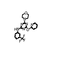 FC(F)(F)c1cccc(Nc2nc(Oc3ccccn3)nc(N3CCOCC3)n2)c1